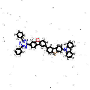 c1ccc(-c2nc(-c3ccccc3)nc(-c3ccc4c(c3)oc3ccc(-c5ccc6sc7cc(-n8c9ccccc9c9ccccc98)ccc7c6c5)cc34)n2)cc1